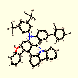 Cc1cc(C)c(-c2ccc3c(c2)B2c4c(cc5oc6ccccc6c5c4-c4cccc5c6ccccc6n2c45)N3c2cc(C(C)(C)C)cc(C(C)(C)C)c2)c(C)c1